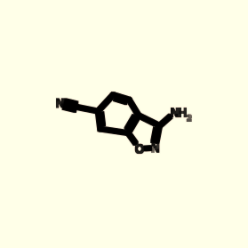 N#Cc1ccc2c(N)noc2c1